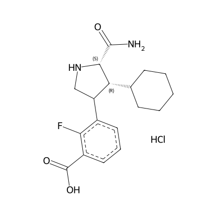 Cl.NC(=O)[C@H]1NCC(c2cccc(C(=O)O)c2F)[C@H]1C1CCCCC1